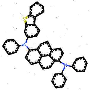 c1ccc(N(c2ccccc2)c2ccc3ccc4c(N(c5ccccc5)c5ccc6c(c5)sc5ccccc56)ccc5ccc2c3c54)cc1